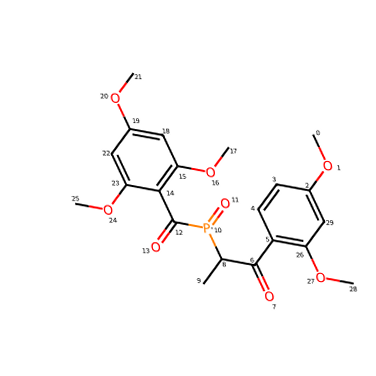 COc1ccc(C(=O)C(C)[P](=O)C(=O)c2c(OC)cc(OC)cc2OC)c(OC)c1